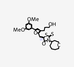 COc1cc(OC)cc(-c2cc(CCCO)c(/C=C3\SC(=S)N(C4CCCCCCC4)C3=O)o2)c1